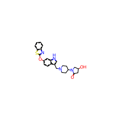 O=C1CC(O)CN1C1CCN(Cc2c[nH]c3cc(Oc4nc5ccccc5s4)ccc23)CC1